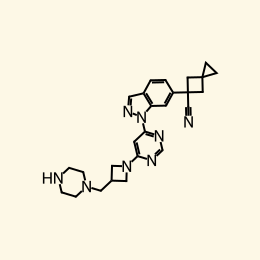 N#CC1(c2ccc3cnn(-c4cc(N5CC(CN6CCNCC6)C5)ncn4)c3c2)CC2(CC2)C1